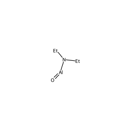 CC[N](CC)[Al]=[O]